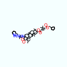 CC(C)C1=C2[C@H]3CC[C@@H]4[C@@]5(C)CC[C@H](OC(=O)[C@H]6C[C@@H](C(=O)OCc7ccccc7)C6(C)C)C(C)(C)C5CC[C@@]4(C)[C@]3(C)CC[C@@]2(NC(=O)C(C)(C)NCc2ccccn2)CC1=O